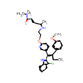 CC/C(=C(/c1ccc(OCCNC(C)/C=C/C(=O)N(C)C)nc1)c1[nH]c2ccccc2c1Cl)c1cccc(OC)c1